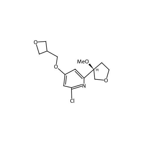 CO[C@@]1(c2cc(OCC3COC3)cc(Cl)n2)CCOC1